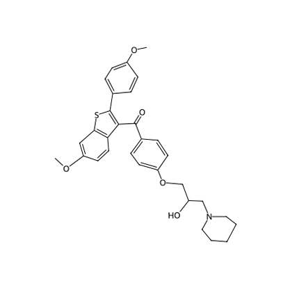 COc1ccc(-c2sc3cc(OC)ccc3c2C(=O)c2ccc(OCC(O)CN3CCCCC3)cc2)cc1